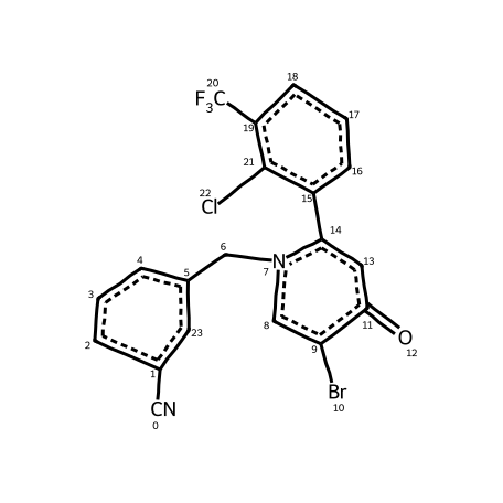 N#Cc1cccc(Cn2cc(Br)c(=O)cc2-c2cccc(C(F)(F)F)c2Cl)c1